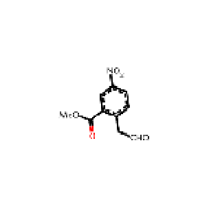 COC(=O)c1cc([N+](=O)[O-])ccc1CC=O